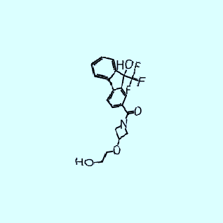 O=C(c1ccc2c(c1)C(O)(C(F)(F)F)c1ccccc1-2)N1CC(OCCO)C1